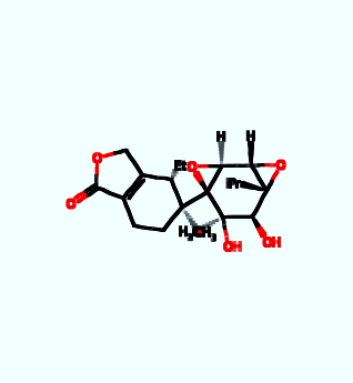 CC[C@H]1C2=C(CC[C@]1(C)[C@]13O[C@H]1[C@@H]1O[C@]1(C(C)C)[C@@H](O)[C@@]3(C)O)C(=O)OC2